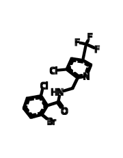 O=C(NCc1ncc(C(F)(F)F)cc1Cl)c1c(Cl)cccc1Br